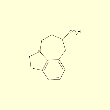 O=C(O)C1CCN2CCc3cccc(c32)C1